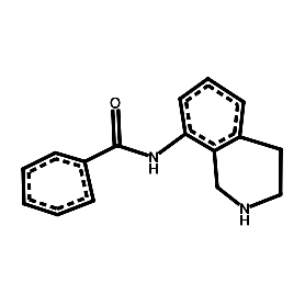 O=C(Nc1cccc2c1CNCC2)c1ccccc1